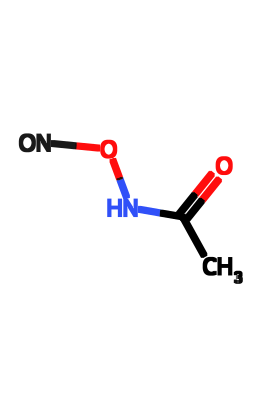 CC(=O)NON=O